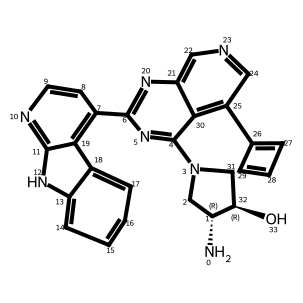 N[C@@H]1CN(c2nc(-c3ccnc4[nH]c5ccccc5c34)nc3cncc(C4=CC=C4)c23)C[C@H]1O